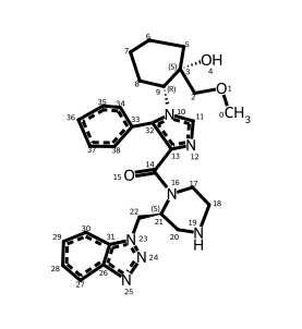 COC[C@]1(O)CCCC[C@H]1n1cnc(C(=O)N2CCNC[C@H]2Cn2nnc3ccccc32)c1-c1ccccc1